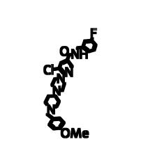 COc1ccc(CN2CCC(N3CCN(c4ncc(C(=O)NCc5cccc(F)c5)cc4Cl)CC3)CC2)cc1